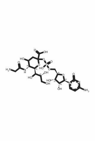 NCC(=O)N[C@@H]1C(O)CC(OP(=O)(O)OC[C@H]2O[C@@H](n3ccc(N)nc3=O)[C@H](O)[C@@H]2O)(C(=O)O)O[C@H]1C(O)[C@H](O)CO